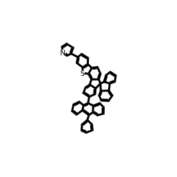 c1ccc(-c2c3ccccc3c(-c3ccc4c(c3)C3(c5ccccc5-c5ccccc53)c3ccc5c(sc6cc(-c7cccnc7)ccc65)c3-4)c3ccccc23)cc1